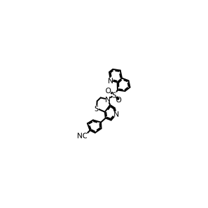 N#Cc1ccc(-c2cncc3c2SCCN3S(=O)(=O)c2cccc3cccnc23)cc1